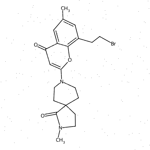 Cc1cc(CCBr)c2oc(N3CCC4(CCN(C)C4=O)CC3)cc(=O)c2c1